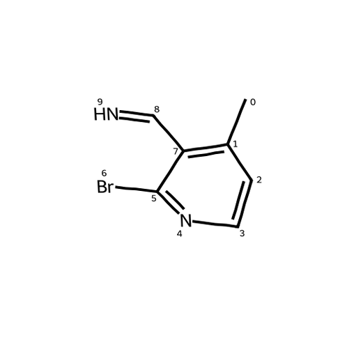 Cc1ccnc(Br)c1C=N